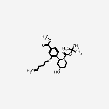 C=CCCCOc1cc(C(=O)OC)ccc1[C@@H]1C[C@@H](O)CCN1C(=O)OC(C)(C)C